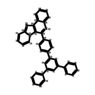 c1ccc(-c2cc(-c3ccccc3)cc(-c3ccc(-c4nc5ccccc5c5nc6ccccn6c45)cc3)c2)cc1